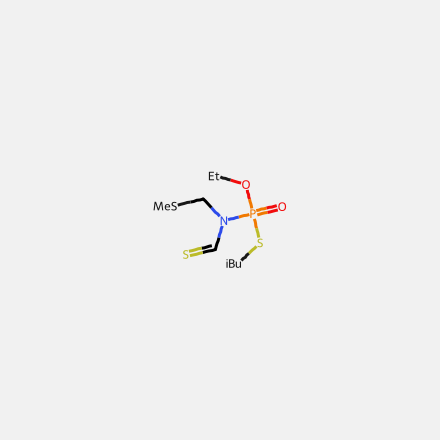 CCOP(=O)(SC(C)CC)N(C=S)CSC